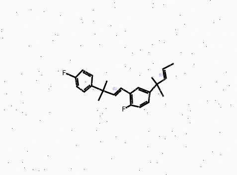 C/C=C/C(C)(C)c1ccc(F)c(/C=C/C(C)(C)c2ccc(F)cc2)c1